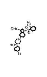 Cc1ccccc1S(=O)(=O)n1cc(C=O)c2cc(N3CCC(O)(c4ccc(Cl)cc4)CC3)ccc21